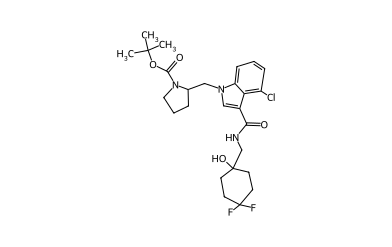 CC(C)(C)OC(=O)N1CCCC1Cn1cc(C(=O)NCC2(O)CCC(F)(F)CC2)c2c(Cl)cccc21